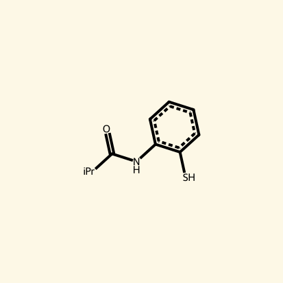 CC(C)C(=O)Nc1ccccc1S